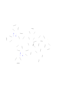 C=C/C=C\c1c(C)c(-c2ccc3c(c2)c2ccccc2n3-c2ccccc2)c2ccccc2c1-c1cccc2sc3ccc(-c4c5ccccc5c(-c5ccc6c(c5)c5ccccc5n6-c5ccccc5)c5ccccc45)cc3c12